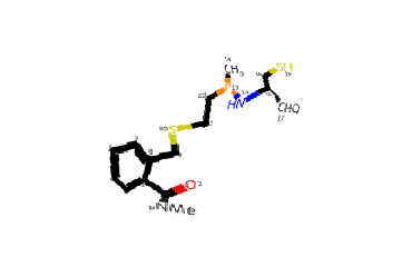 CNC(=O)c1ccccc1CSCCP(C)N[C@H](C=O)CS